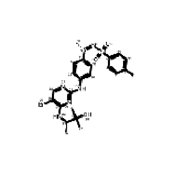 Cc1ccc(S(=O)(=O)N=[S@@](C)c2ccc(Nc3ncc(Br)c(N[C@H](C)C(C)(C)O)n3)cc2)cc1